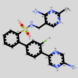 Cc1ncc(CNS(=O)(=O)c2ccccc2-c2ccc(-c3cnc(N)cn3)c(F)c2)c(N)n1